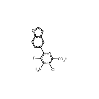 Nc1c(F)c(-c2ccc3occc3c2)nc(C(=O)O)c1Cl